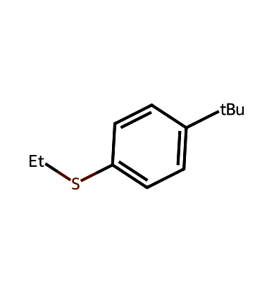 CCSc1ccc(C(C)(C)C)cc1